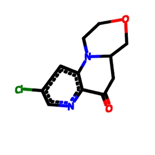 O=C1CC2COCCN2c2cc(Cl)cnc21